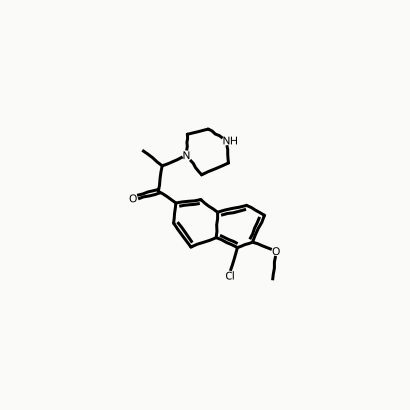 COc1ccc2cc(C(=O)C(C)N3CCNCC3)ccc2c1Cl